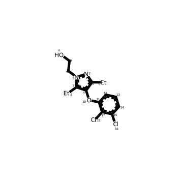 CCc1nn(CCO)c(CC)c1Oc1cccc(Cl)c1Cl